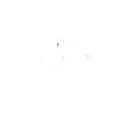 C[C@@H]1COCC2c3ccccc3CC(N)C(=O)N21